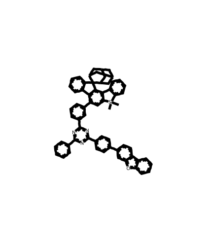 C[Si]1(C)c2ccccc2-c2c1cc(-c1cccc(-c3nc(-c4ccccc4)nc(-c4ccc(-c5ccc6c(c5)oc5ccccc56)cc4)n3)c1)c1c2C2(c3ccccc3-1)C1CC3CC(C1)CC2C3